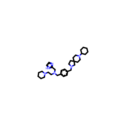 c1c[nH]c(CN(CCN2CCCCC2)Cc2ccc(CN3CCC4(CCN(C5CCCCC5)CC4)C3)cc2)n1